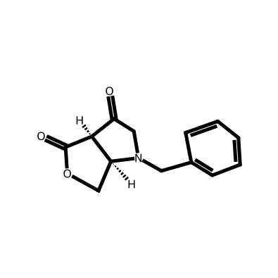 O=C1CN(Cc2ccccc2)[C@H]2COC(=O)[C@@H]12